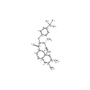 C#C[C@@H](C)N(Cc1ccc(C(F)(F)F)cn1)C(=O)c1ccc2nc(N)c(C)cc2c1